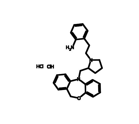 Cl.Cl.Nc1ccccc1CCN1CCCC1CN1c2ccccc2COc2ccccc21